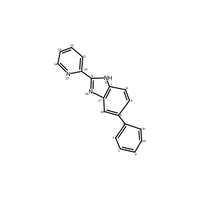 c1ccc(-c2ccc3[nH]c(-c4ccccn4)nc3c2)cc1